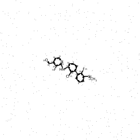 COc1cccc(-c2cccc(Nc3nccc(C=O)c3F)c2Cl)c1F